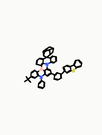 CC(C)(C)c1ccc2c(c1)N(c1ccccc1)c1cc(-c3cccc(-c4ccc5c(c4)sc4ccccc45)c3)cc3c1B2c1cccc2c1N3c1ccccc1C21C2CC3CC(C2)CC1C3